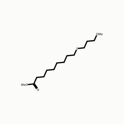 COCCCSCCCCCCCCC(=O)OC